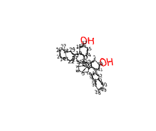 Oc1ccc(C23CC4CC(C2)CC(c2ccc(O)cc2-c2ccc5ccccc5c2)(C4)C3)c(-c2ccc3ccccc3c2)c1